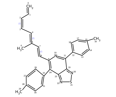 C=C\C=C/C=C(C)/C=C/c1nc(-c2ccc(C)cc2)c2nsnc2c1-c1ccc(C)cc1